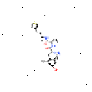 Cc1cc(O)cc(C)c1C[C@H](N)C(=O)N[C@H](C)C(=O)NCCCc1ccsc1